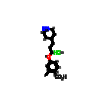 Cc1cc(OCCCC2CCNCC2)ccc1C(=O)O.Cl